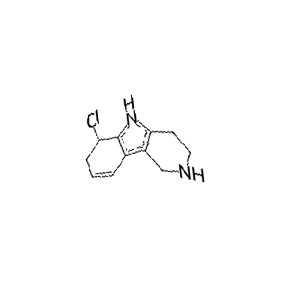 ClC1CC=Cc2c1[nH]c1c2CNCC1